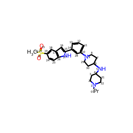 CC(C)N1CCC(NC2CCN(c3cccc(-c4cc5cc(S(C)(=O)=O)ccc5[nH]4)c3)CC2)CC1